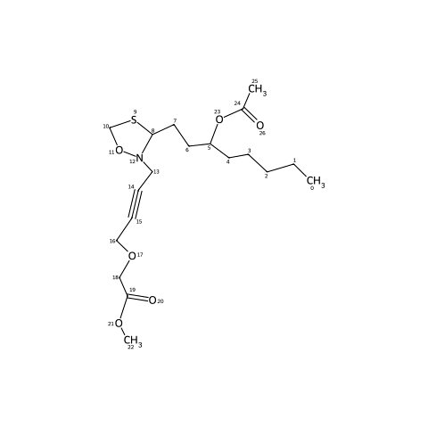 CCCCCC(CCC1SCON1CC#CCOCC(=O)OC)OC(C)=O